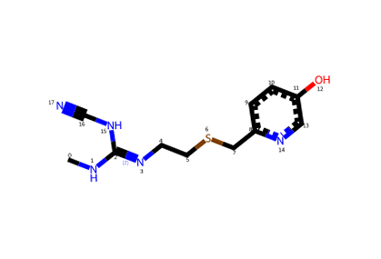 CN/C(=N/CCSCc1ccc(O)cn1)NC#N